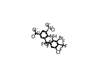 O=[N+]([O-])c1cc([N+](=O)[O-])c(Nc2c(Cl)cc(Cl)c(C(F)(F)F)c2Br)c(C(F)(F)F)c1